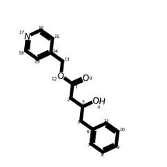 O=C(CC(O)Cc1ccccc1)OCc1ccncc1